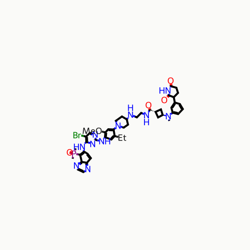 CCc1cc(Nc2ncc(Br)c(Nc3ccc4nccnc4c3P(C)(C)=O)n2)c(OC)cc1N1CCC(NCCNC(=O)[C@H]2C[C@H](N(C)c3cccc(C4CCC(=O)NC4=O)c3)C2)CC1